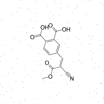 COC(=O)C(C#N)=Cc1ccc(C(=O)O)c(C(=O)O)c1